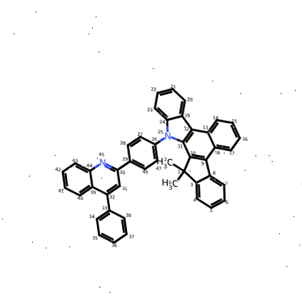 CC1(C)c2ccccc2-c2c1c1c(c3ccccc23)c2ccccc2n1-c1ccc(-c2cc(-c3ccccc3)c3ccccc3n2)cc1